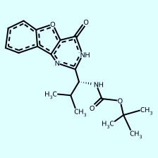 CC(C)[C@@H](NC(=O)OC(C)(C)C)c1nc2c(oc3ccccc32)c(=O)[nH]1